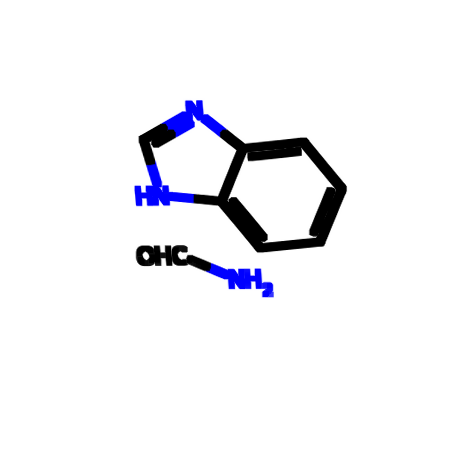 NC=O.c1ccc2[nH]cnc2c1